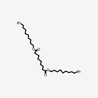 CC(C)CCCCCCCCCOC(=O)CCCCCCCC(=O)OCCCCCCCCCC(C)C